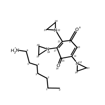 CCCCCCCN.O=C1C=C(N2CC2)C(=O)C(N2CC2)=C1N1CC1